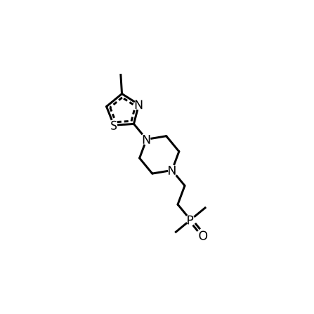 Cc1csc(N2CCN(CCP(C)(C)=O)CC2)n1